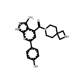 Cc1n[nH]c2nc(-c3ccc(O)cc3)cc(C(=O)N3CCC4(CC3)CNC4)c12